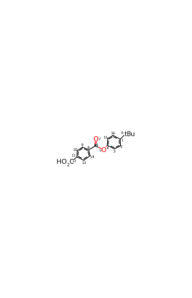 CC(C)(C)c1ccc(OC(=O)c2ccc(C(=O)O)cc2)cc1